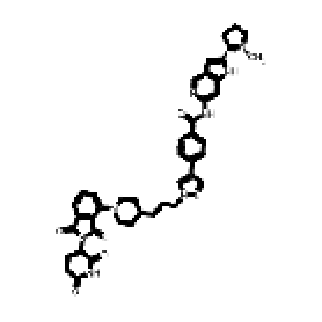 CN1CCC[C@@H]1c1cc2cnc(NC(=O)c3ccc(-c4cnn(CCCC5CCN(c6cccc7c6C(=O)N(C6CCC(=O)NC6=O)C7=O)CC5)c4)cc3)cc2[nH]1